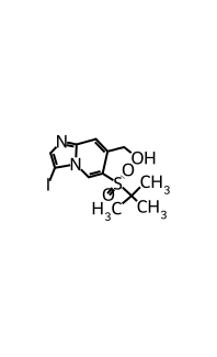 CC(C)(C)S(=O)(=O)c1cn2c(I)cnc2cc1CO